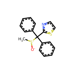 C[S+]([O-])C(c1ccccc1)(c1ccccc1)c1nccs1